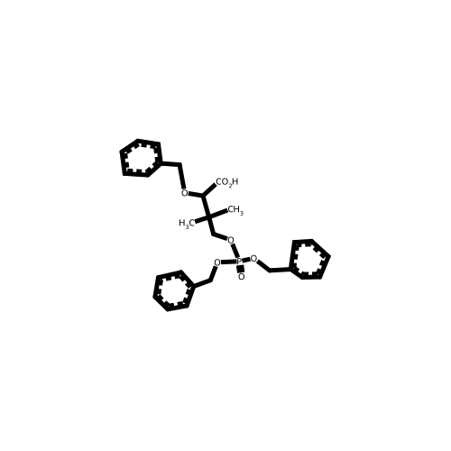 CC(C)(COP(=O)(OCc1ccccc1)OCc1ccccc1)C(OCc1ccccc1)C(=O)O